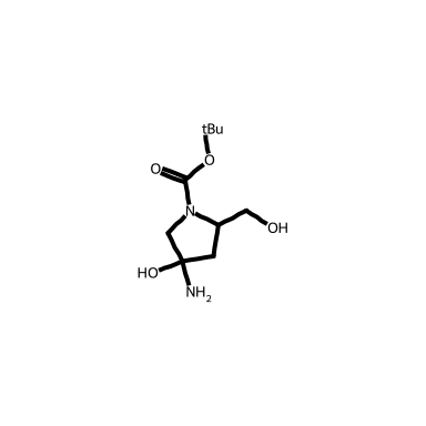 CC(C)(C)OC(=O)N1CC(N)(O)CC1CO